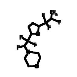 FC(N1CCOCC1)C(F)(F)C1CCC(C(F)(F)C(F)C(F)(F)F)O1